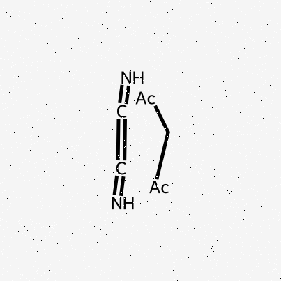 CC(=O)CC(C)=O.N=C=C=N